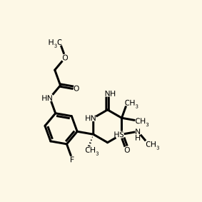 CN[SH]1(=O)C[C@@](C)(c2cc(NC(=O)COC)ccc2F)NC(=N)C1(C)C